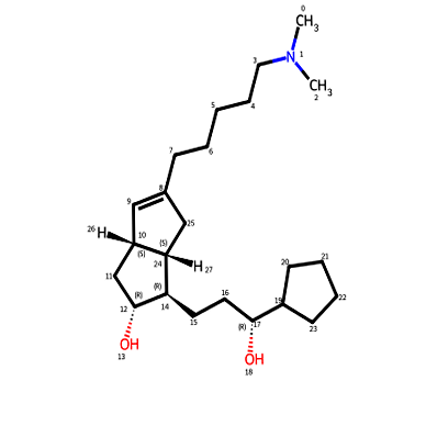 CN(C)CCCCCC1=C[C@H]2C[C@@H](O)[C@H](CC[C@@H](O)C3CCCC3)[C@H]2C1